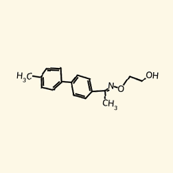 CC(=NOCCO)c1ccc(-c2ccc(C)cc2)cc1